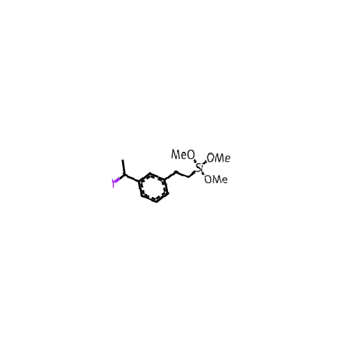 CO[Si](CCc1cccc(C(C)I)c1)(OC)OC